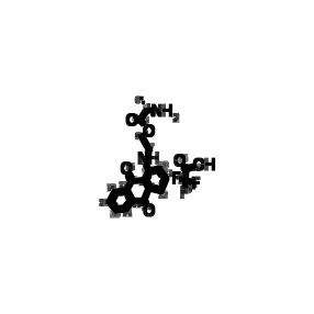 C[C@H](N)C(=O)OCCNc1cccc2c1C(=O)c1ccccc1C2=O.O=C(O)C(F)(F)F